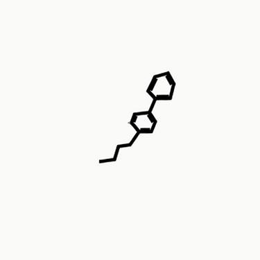 CCCCc1[c]cc(-c2ccccc2)cc1